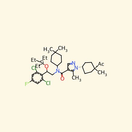 CC[Si](CC)(CC)OC(CN(C(=O)c1cnn([C@H]2CC[C@](C)(C(C)=O)CC2)c1C)C1CCC(C)(C)CC1)c1c(Cl)cc(F)cc1Cl